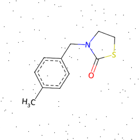 Cc1ccc(CN2CCSC2=O)cc1